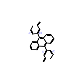 C=C/C=C(\C=C/C)c1c2ccccc2c(C(/C=C\C)=C/C=C)c2ccccc12